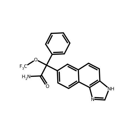 NC(=O)C(OC(F)(F)F)(c1ccccc1)c1ccc2c(ccc3[nH]cnc32)c1